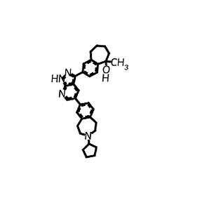 CC1(O)CCCCc2cc(-c3n[nH]c4ncc(-c5ccc6c(c5)CCN(C5CCCC5)CC6)cc34)ccc21